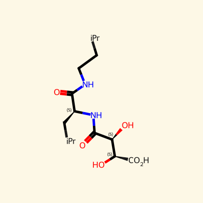 CC(C)CCNC(=O)[C@H](CC(C)C)NC(=O)[C@@H](O)[C@H](O)C(=O)O